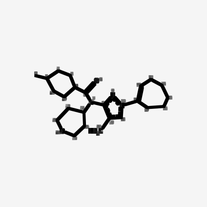 CC1CCC(C(=O)N(c2nn(C3=CCCCCC3)cc2C(=O)O)C2CCOCC2)CC1